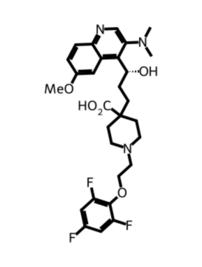 COc1ccc2ncc(N(C)C)c([C@H](O)CCC3(C(=O)O)CCN(CCOc4c(F)cc(F)cc4F)CC3)c2c1